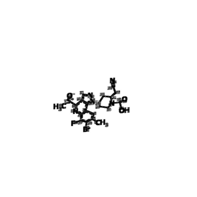 Cc1cc2c(nc([S+](C)[O-])c3cnn([C@H]4CCN(C(=O)O)[C@H](CC#N)C4)c32)c(F)c1Br